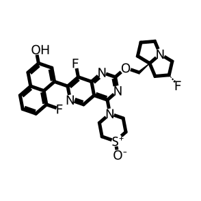 [O-][S+]1CCN(c2nc(OC[C@@]34CCCN3C[C@H](F)C4)nc3c(F)c(-c4cc(O)cc5cccc(F)c45)ncc23)CC1